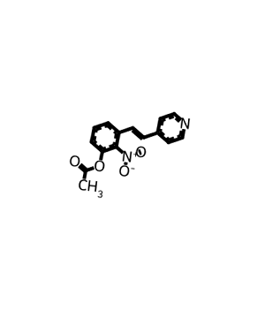 CC(=O)Oc1cccc(C=Cc2ccncc2)c1[N+](=O)[O-]